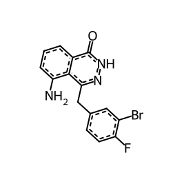 Nc1cccc2c(=O)[nH]nc(Cc3ccc(F)c(Br)c3)c12